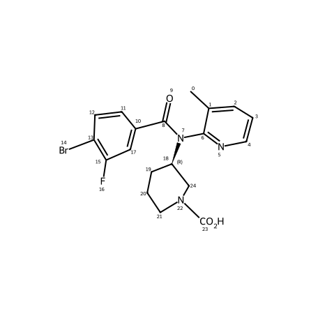 Cc1cccnc1N(C(=O)c1ccc(Br)c(F)c1)[C@@H]1CCCN(C(=O)O)C1